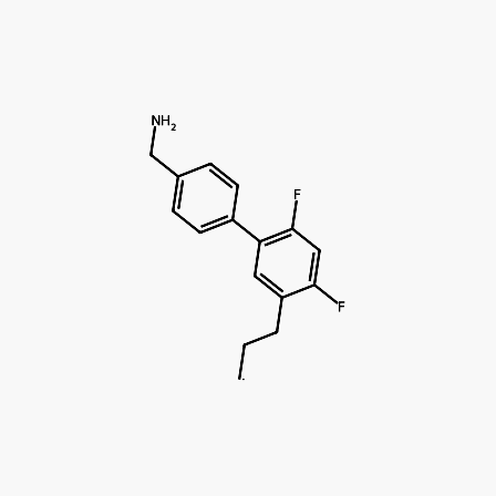 [CH2]CCc1cc(-c2ccc(CN)cc2)c(F)cc1F